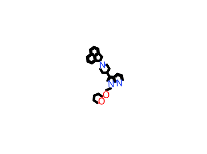 c1cc2c3c(cccc3c1)C(N1CCC(c3cn(CCOC4CCCCO4)c4ncccc34)CC1)C2